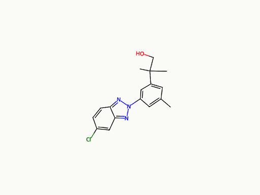 Cc1cc(-n2nc3ccc(Cl)cc3n2)cc(C(C)(C)CO)c1